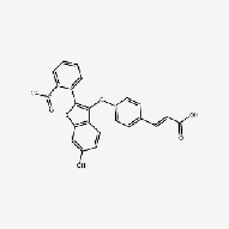 O=C(O)/C=C/c1ccc(Oc2c(-c3ccccc3[N+](=O)[O-])sc3cc(O)ccc23)cc1